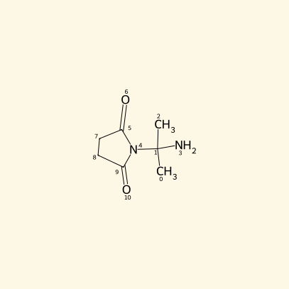 CC(C)(N)N1C(=O)CCC1=O